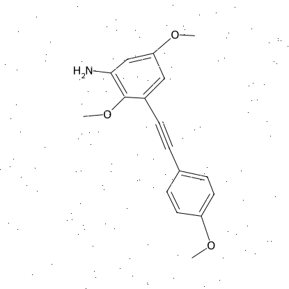 COc1ccc(C#Cc2cc(OC)cc(N)c2OC)cc1